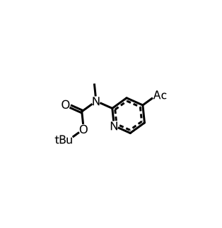 CC(=O)c1ccnc(N(C)C(=O)OC(C)(C)C)c1